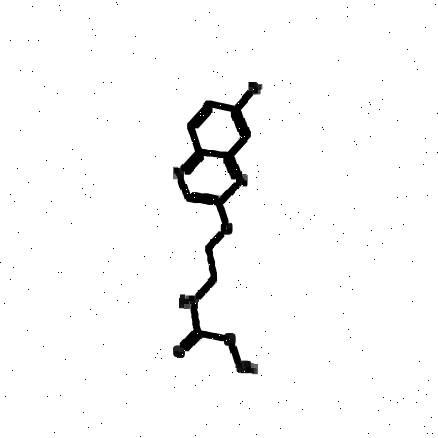 CC(C)(C)OC(=O)NCCOc1cnc2ccc(Br)cc2n1